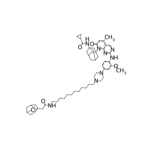 COc1cc(N2CCN(CCCCCCCCCCCCNC(=O)CC34CC5CC(CC3C5)C4)CC2)ccc1Nc1ncc2c(C)cc(=O)n(C34CC5CC(CC(NC(=O)C6CC6)(C5)C3)C4)c2n1